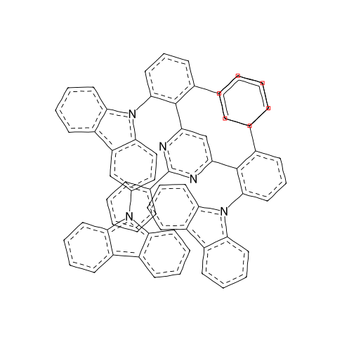 C1=CCC(c2cccc(-n3c4ccccc4c4ccccc43)c2-c2cc(-c3c(C4=CCCC=C4)cccc3-n3c4ccccc4c4cc(-n5c6ccccc6c6ccccc65)ccc43)nc(-c3ccccc3)n2)C=C1